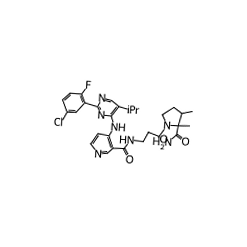 CC(C)c1cnc(-c2cc(Cl)ccc2F)nc1Nc1ccncc1C(=O)NCCC(=O)N1CCC(C)C1(C)C(N)=O